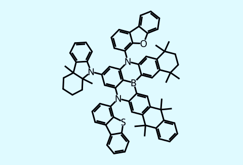 CC1(C)CCC(C)(C)c2cc3c(cc21)B1c2cc4c(cc2N(c2cccc5c2sc2ccccc25)c2cc(N5c6ccccc6C6(C)CCCCC56C)cc(c21)N3c1cccc2c1oc1ccccc12)C(C)(C)c1ccccc1C4(C)C